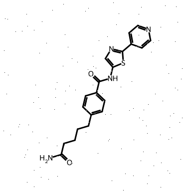 NC(=O)CCCCc1ccc(C(=O)Nc2cnc(-c3ccncc3)s2)cc1